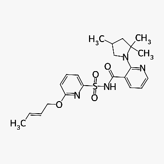 CC=CCOc1cccc(S(=O)(=O)NC(=O)c2cccnc2N2CC(C)CC2(C)C)n1